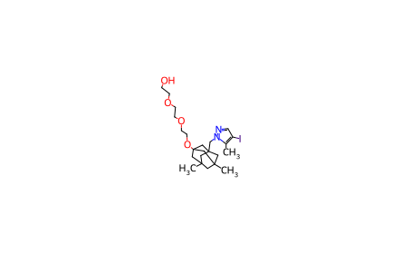 Cc1c(I)cnn1CC12CC3(C)CC(C)(C1)CC(OCCOCCOCCO)(C3)C2